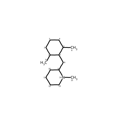 CC1CCCC(C)C1CC1CCCCN1C